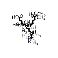 C/C(=N\O)C(C)(C)NCC(CNC(C)(C)/C(CCC(=O)O)=N/O)NC(=O)CCCC(=O)C(C)(C)C